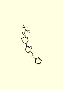 CC(C)(C)C(=O)ON1CCC(c2nc(COc3ccccc3)cs2)CC1